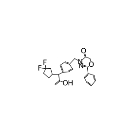 C=C(O)C(c1ccc(CN2N=C(c3ccccc3)OCC2=O)cc1)C1CCC(F)(F)C1